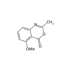 COc1cccc2nc(C)oc(=O)c12